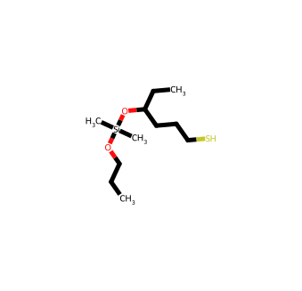 CCCO[Si](C)(C)OC(CC)CCCS